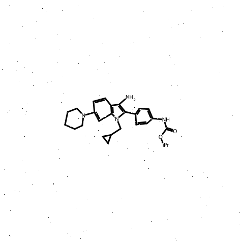 CC(C)OC(=O)Nc1ccc(-c2c(N)c3ccc(N4CCCCC4)cc3n2CC2CC2)cc1